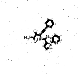 NC(=O)C(=O)C(C#Cc1ccccc1)NC(=O)c1ccnn1-c1ccccn1